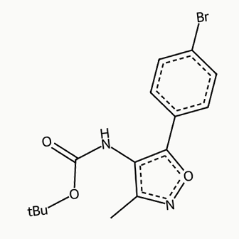 Cc1noc(-c2ccc(Br)cc2)c1NC(=O)OC(C)(C)C